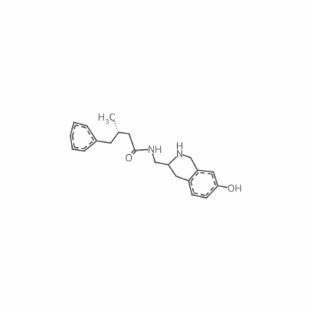 C[C@H](CC(=O)NCC1Cc2ccc(O)cc2CN1)Cc1ccccc1